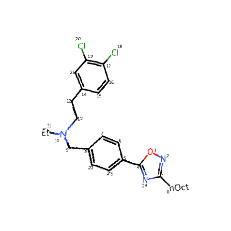 CCCCCCCCc1noc(-c2ccc(CN(CC)CCc3ccc(Cl)c(Cl)c3)cc2)n1